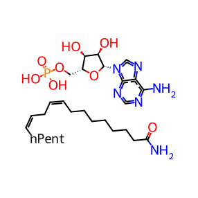 CCCCC/C=C\C/C=C\CCCCCCCC(N)=O.Nc1ncnc2c1ncn2[C@@H]1O[C@H](COP(=O)(O)O)[C@@H](O)[C@H]1O